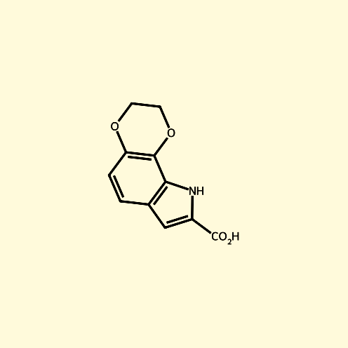 O=C(O)c1cc2ccc3c(c2[nH]1)OCCO3